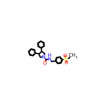 CCS(=O)(=O)c1ccc(CNC(=O)N2CC(c3ccccc3)C(c3ccccc3)C2)cc1